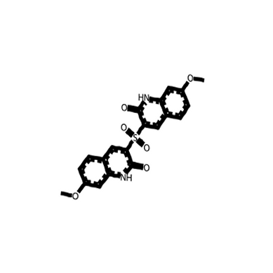 COc1ccc2cc(S(=O)(=O)c3cc4ccc(OC)cc4[nH]c3=O)c(=O)[nH]c2c1